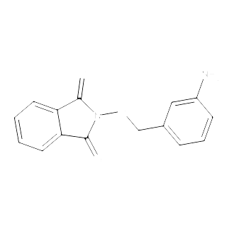 Nc1cccc(CON2C(=O)c3ccccc3C2=O)c1